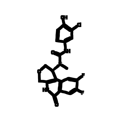 CN(C(=O)Nc1ccc(O)c(Cl)c1)[C@@H]1COCc2[nH]c(=O)c3cc(F)c(F)cc3c21